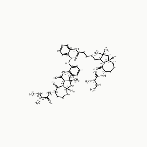 CN[C@@H](C)C(=O)N[C@H]1CCO[C@H]2CC(C)(C)C(CSCCC(=O)Nc3ccccc3SSc3ccccc3NC(=O)C3N4C(=O)[C@@H](NC(=O)[C@H](C)NC)CCO[C@H]4CC3(C)C)N2C1=O